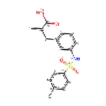 C=C(Cc1cccc(NS(=O)(=O)c2ccc(C)cc2)c1)C(=O)O